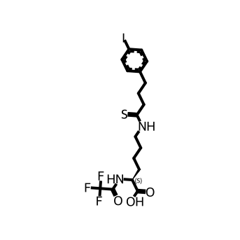 O=C(O)[C@H](CCCCNC(=S)CCCc1ccc(I)cc1)NC(=O)C(F)(F)F